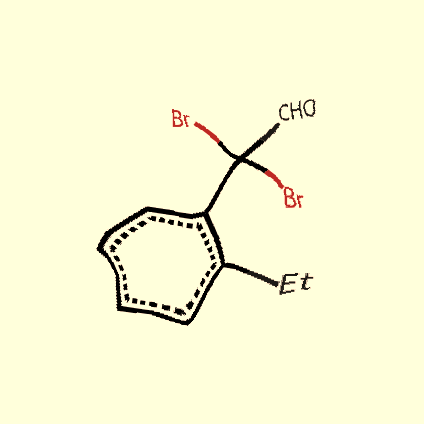 CCc1ccccc1C(Br)(Br)C=O